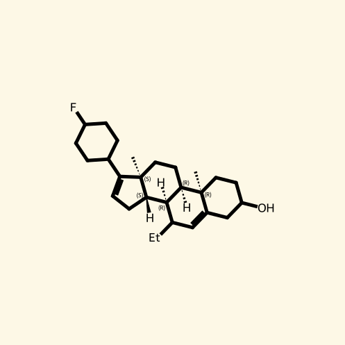 CCC1C=C2CC(O)CC[C@]2(C)[C@@H]2CC[C@]3(C)C(C4CCC(F)CC4)=CC[C@H]3[C@H]12